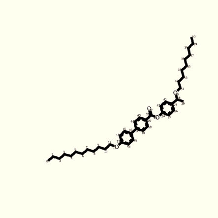 CCCCCCCCCCCCOc1ccc(-c2ccc(C(=O)Oc3ccc(C(C)OCCCCCCCCCC)cc3)cc2)cc1